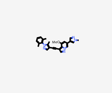 COc1cc(-c2cnn(C)c2)cn2ncc(C#Cc3cnn(-c4c(C)cccc4C)c3C)c12